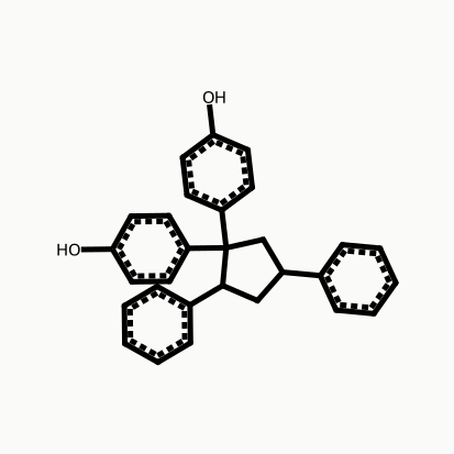 Oc1ccc(C2(c3ccc(O)cc3)CC(c3ccccc3)CC2c2ccccc2)cc1